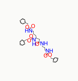 O=C(CC(CCCNC(=O)OCc1ccccc1)NC(=O)OCc1ccccc1)NCCCNC(=O)OCc1ccccc1